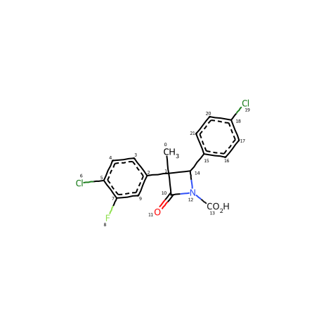 CC1(c2ccc(Cl)c(F)c2)C(=O)N(C(=O)O)C1c1ccc(Cl)cc1